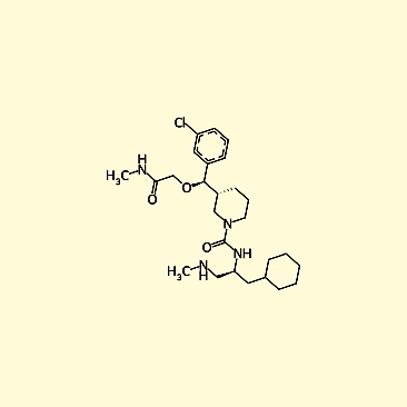 CNC[C@H](CC1CCCCC1)NC(=O)N1CCC[C@@H]([C@@H](OCC(=O)NC)c2cccc(Cl)c2)C1